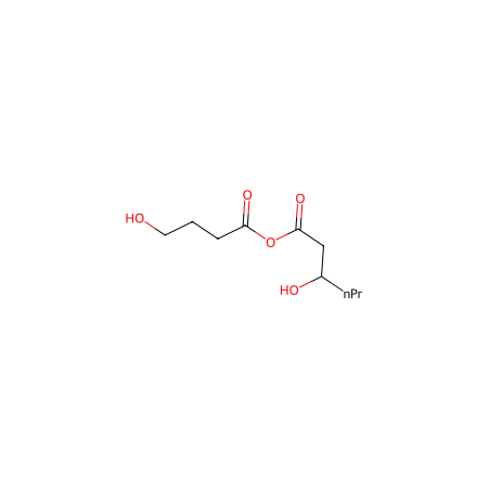 CCCC(O)CC(=O)OC(=O)CCCO